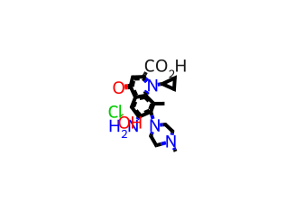 Cc1c(N2CCN(C)CC2)c(N)cc2c(=O)cc(C(=O)O)n(C3CC3)c12.OCl